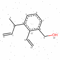 C=C[C](C)c1cccc(CO)c1C=C